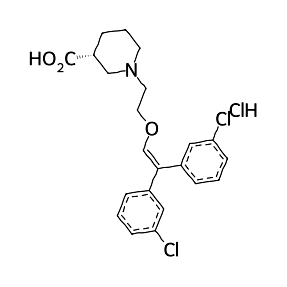 Cl.O=C(O)[C@@H]1CCCN(CCOC=C(c2cccc(Cl)c2)c2cccc(Cl)c2)C1